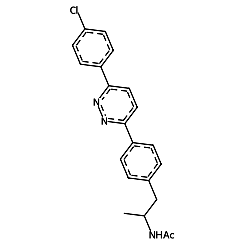 CC(=O)NC(C)Cc1ccc(-c2ccc(-c3ccc(Cl)cc3)nn2)cc1